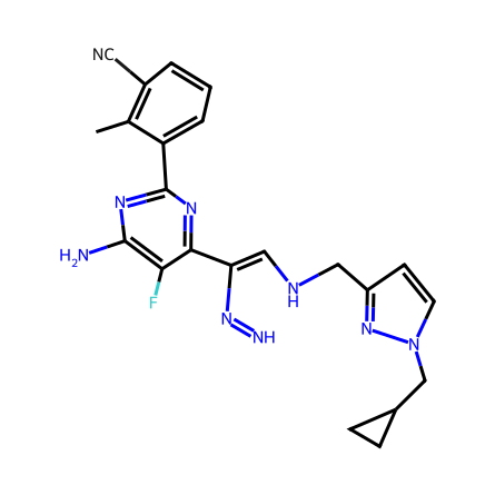 Cc1c(C#N)cccc1-c1nc(N)c(F)c(/C(=C/NCc2ccn(CC3CC3)n2)N=N)n1